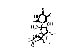 BC(B)(OP(=O)(O)O)[C@@]1(F)O[C@@](B)(n2cc(Cl)c(=S)[nH]c2=O)[C@H](O)[C@@H]1O